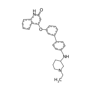 CCN1CCCC(Nc2ccc(-c3cccc(Oc4cc(=O)[nH]c5ccccc45)c3)cc2)C1